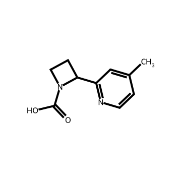 Cc1ccnc(C2CCN2C(=O)O)c1